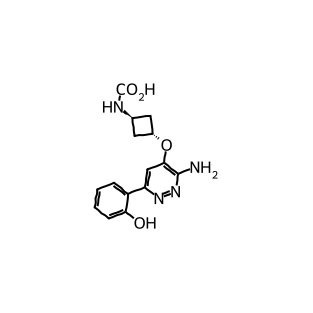 Nc1nnc(-c2ccccc2O)cc1O[C@H]1C[C@H](NC(=O)O)C1